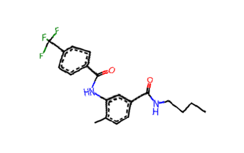 CCCCNC(=O)c1ccc(C)c(NC(=O)c2ccc(C(F)(F)F)cc2)c1